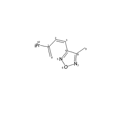 C=C(/C=C\c1nonc1C)C(C)C